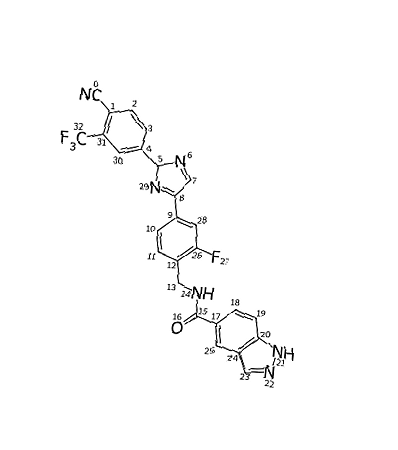 N#Cc1ccc(C2N=CC(c3ccc(CNC(=O)c4ccc5[nH]ncc5c4)c(F)c3)=N2)cc1C(F)(F)F